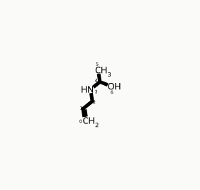 C=CCNC(C)O